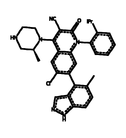 Cc1ccc2[nH]ncc2c1-c1cc2c(cc1Cl)c(N1CCNC[C@@H]1C)c(C#N)c(=O)n2-c1ccccc1C(C)C